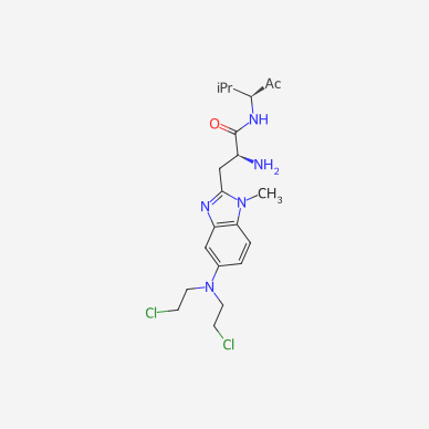 CC(=O)[C@@H](NC(=O)[C@@H](N)Cc1nc2cc(N(CCCl)CCCl)ccc2n1C)C(C)C